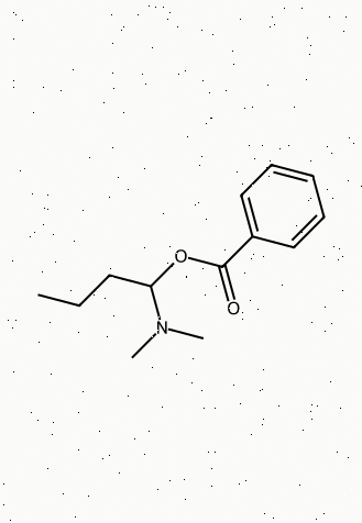 CCCC(OC(=O)c1ccccc1)N(C)C